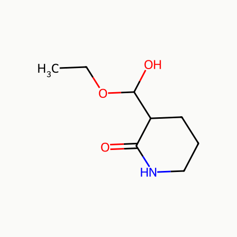 CCOC(O)C1CCCNC1=O